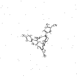 N#Cc1ccc(C(=O)N[C@H](c2ccc(Cl)cc2)c2ncc(Cl)cc2F)cc1F